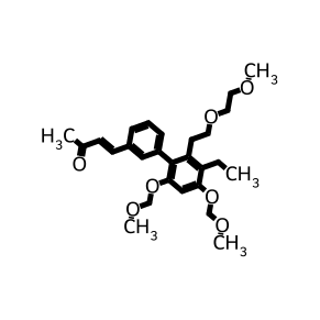 CCc1c(OCOC)cc(OCOC)c(-c2cccc(C=CC(C)=O)c2)c1CCOCCOC